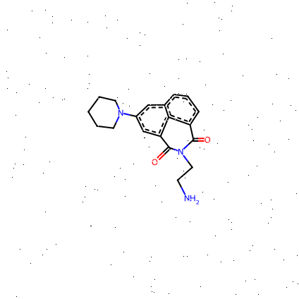 NCCN1C(=O)c2cccc3cc(N4CCCCC4)cc(c23)C1=O